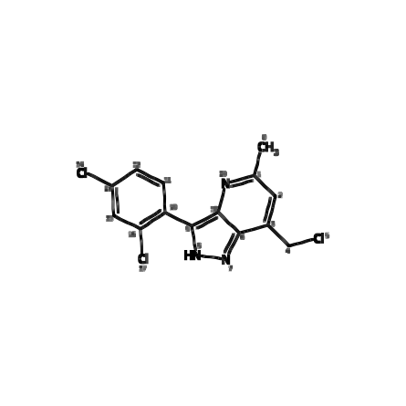 Cc1cc(CCl)c2n[nH]c(-c3ccc(Cl)cc3Cl)c2n1